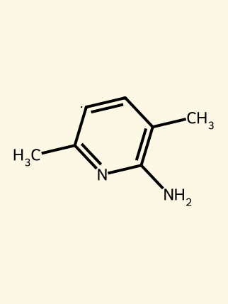 Cc1[c]cc(C)c(N)n1